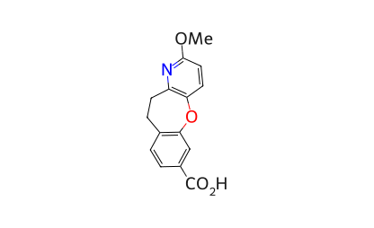 COc1ccc2c(n1)CCc1ccc(C(=O)O)cc1O2